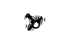 CC(C)ONC(=O)[C@@]12C[C@H]1/C=C\CCCCC[C@H](NC(=O)OC(C)(C)C)C(=O)N1C[C@H](OC(=O)N3Cc4cccc(F)c4C3)C[C@H]1C(=O)N2